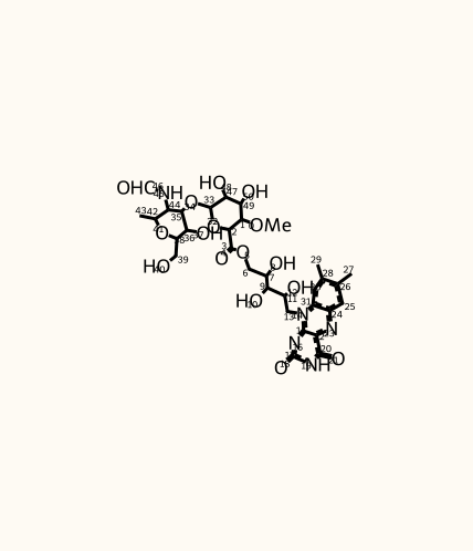 COC1C(C(=O)OCC(O)C(O)C(O)Cn2c3nc(=O)[nH]c(=O)c-3nc3cc(C)c(C)cc32)OC(OC2C(O)C(CO)OC(C)C2NC=O)C(O)C1O